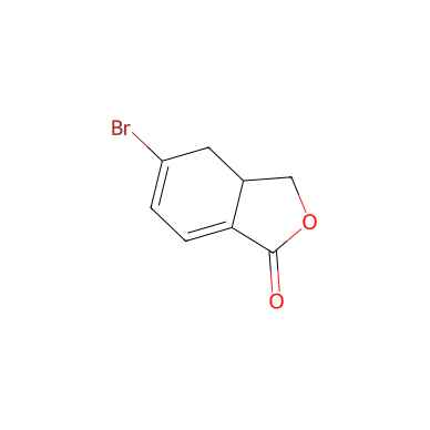 O=C1OCC2CC(Br)=CC=C12